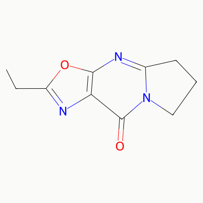 CCc1nc2c(=O)n3c(nc2o1)CCC3